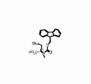 CN(C(=O)OCC1c2ccccc2-c2ccccc21)[C@@H](CC(C)(C)C)C(=O)O